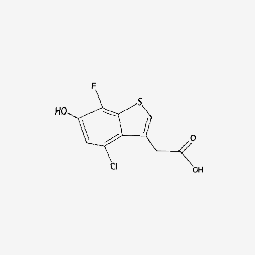 O=C(O)Cc1csc2c(F)c(O)cc(Cl)c12